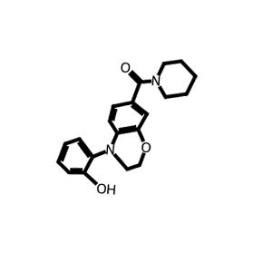 O=C(c1ccc2c(c1)OCCN2c1ccccc1O)N1CCCCC1